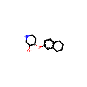 O[C@H]1CNCC[C@@H]1Oc1ccc2c(c1)CCCC2